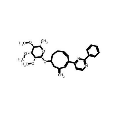 C=C1/C=C(c2ccnc(-c3ccccc3)n2)\C=C/CCC(O[C@@H]2O[C@@H](C)[C@H](OC)[C@@H](OC)[C@H]2OC)C1